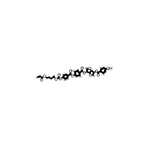 C=CC(=O)OCCCCOC(=O)Oc1ccc(C(=O)Oc2ccc(C(=O)O[C@H]3COC4C3OC[C@@H]4OC(=O)c3ccc(O)cc3)cc2)cc1